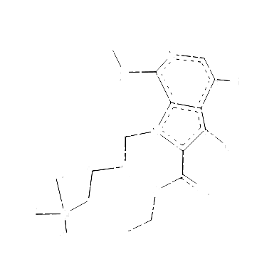 CCOC(=O)c1c(Cl)c2c(Cl)cnc(OC)c2n1COCC[Si](C)(C)C